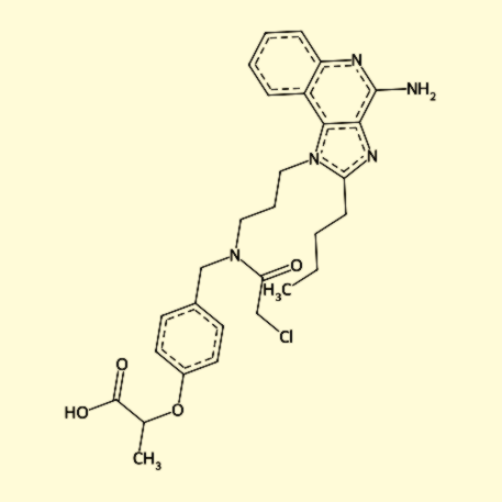 CCCCc1nc2c(N)nc3ccccc3c2n1CCCN(Cc1ccc(OC(C)C(=O)O)cc1)C(=O)CCl